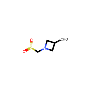 O=CC1CN(C[SH](=O)=O)C1